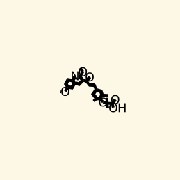 COc1ccc2nc(OC)c(C(=O)C=Cc3cc(C)c(OC(C)(C)C(=O)O)c(C)c3)cc2c1